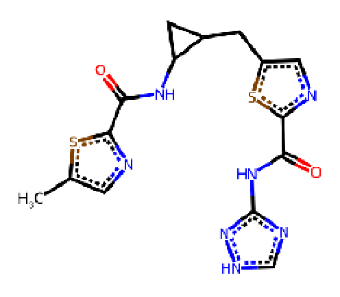 Cc1cnc(C(=O)NC2CC2Cc2cnc(C(=O)Nc3nc[nH]n3)s2)s1